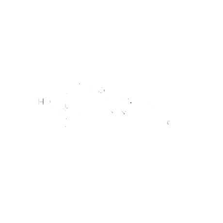 Cc1ccc(O[C@](C)(Cc2ccc(OCCc3nc(-c4ccc(-c5cccs5)cc4)oc3C)cc2)C(=O)O)cc1